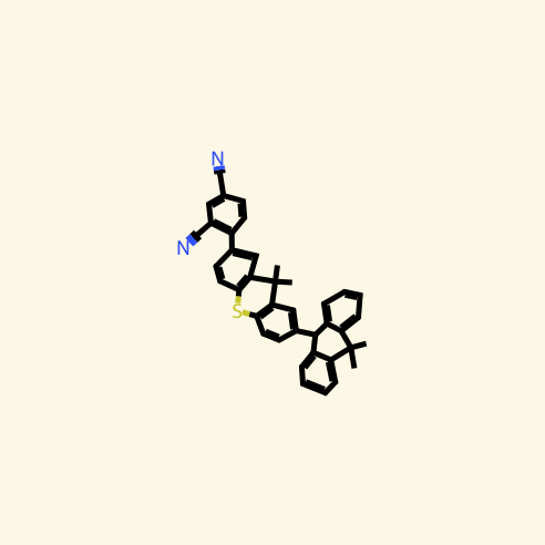 CC1(C)c2cc(-c3ccc(C#N)cc3C#N)ccc2Sc2ccc(C3c4ccccc4C(C)(C)c4ccccc43)cc21